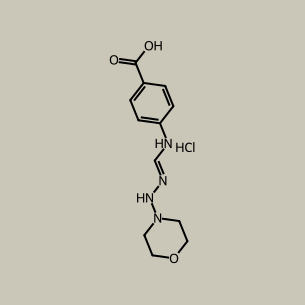 Cl.O=C(O)c1ccc(N/C=N/NN2CCOCC2)cc1